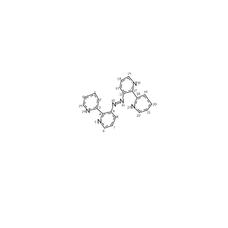 c1ccc(-c2ncccc2N=Nc2cccnc2-c2ccccn2)nc1